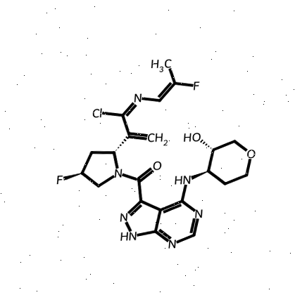 C=C(/C(Cl)=N\C=C(/C)F)[C@H]1C[C@H](F)CN1C(=O)c1n[nH]c2ncnc(N[C@@H]3CCOC[C@H]3O)c12